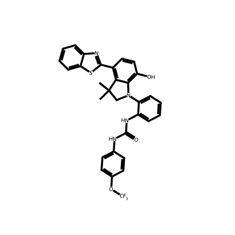 CC1(C)CN(c2ccccc2NC(=O)Nc2ccc(OC(F)(F)F)cc2)c2c(O)ccc(-c3nc4ccccc4s3)c21